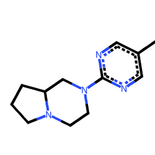 Cc1cnc(N2CCN3CCCC3C2)nc1